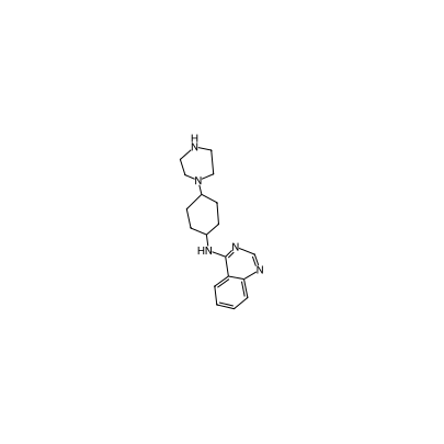 c1ccc2c(NC3CCC(N4CCNCC4)CC3)ncnc2c1